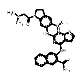 COc1cc2c(cc1Nc1nc(Nc3cc4ccccc4cc3C(N)=O)c3ccnc-3[nH]1)N(C(=O)CN(C)C)CC2